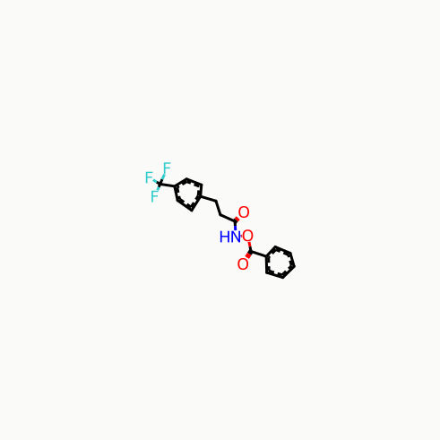 O=C(CCc1ccc(C(F)(F)F)cc1)NOC(=O)c1ccccc1